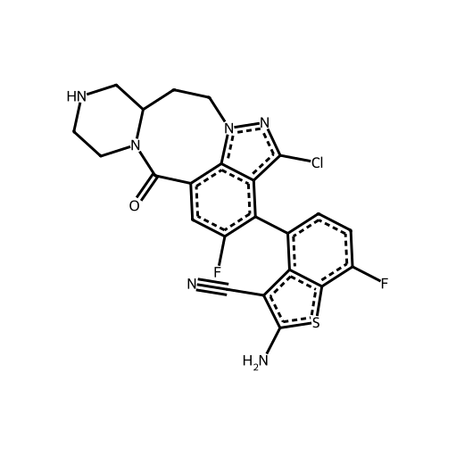 N#Cc1c(N)sc2c(F)ccc(-c3c(F)cc4c5c3c(Cl)nn5CCC3CNCCN3C4=O)c12